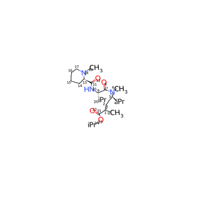 C/C(=C\[C@H](C(C)C)N(C)C(=O)[C@@H](NC(=O)[C@H]1CCCCN1C)C(C)C)C(=O)OC(C)C